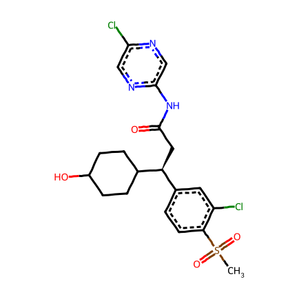 CS(=O)(=O)c1ccc([C@H](CC(=O)Nc2cnc(Cl)cn2)C2CCC(O)CC2)cc1Cl